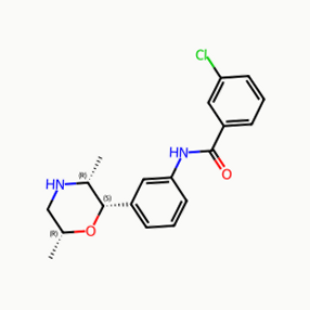 C[C@@H]1CN[C@H](C)[C@H](c2cccc(NC(=O)c3cccc(Cl)c3)c2)O1